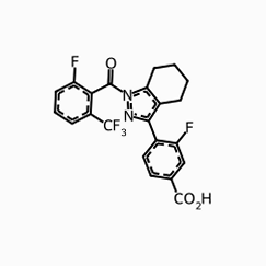 O=C(O)c1ccc(-c2nn(C(=O)c3c(F)cccc3C(F)(F)F)c3c2CCCC3)c(F)c1